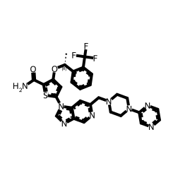 C[C@@H](Oc1cc(-n2cnc3cnc(CN4CCN(c5cnccn5)CC4)cc32)sc1C(N)=O)c1ccccc1C(F)(F)F